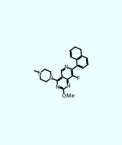 COc1nc(N2CCN(C)CC2)c2cnc(-c3cccc4c3C=CCC4)c(F)c2n1